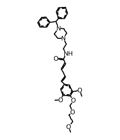 COCCOCOc1c(OC)cc(C=CC=CC(=O)NCCN2CCN(C(c3ccccc3)c3ccccc3)CC2)cc1OC